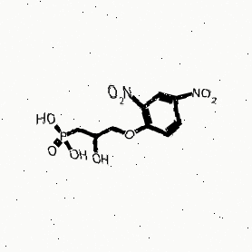 O=[N+]([O-])c1ccc(OCC(O)CP(=O)(O)O)c([N+](=O)[O-])c1